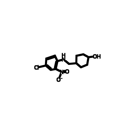 O=[N+]([O-])c1cc(Cl)ccc1NCC1CCC(O)CC1